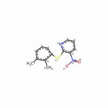 Cc1cccc(Sc2ncccc2[N+](=O)[O-])c1C